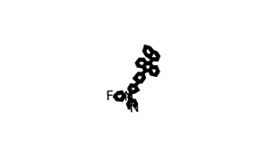 Fc1ccc(N(c2ccncc2)c2ccc(-c3ccc(-c4c5ccccc5c(-c5cccc6ccccc56)c5ccccc45)cc3)cc2)cc1